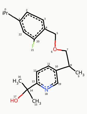 CC(C)c1ccc(COCC(C)c2ccc(C(C)(C)O)nc2)c(F)c1